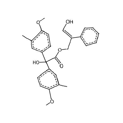 COc1ccc(C(O)(C(=O)OCC(=CO)c2ccccc2)c2ccc(OC)c(C)c2)cc1C